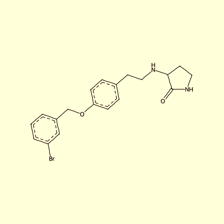 O=C1NCCC1NCCc1ccc(OCc2cccc(Br)c2)cc1